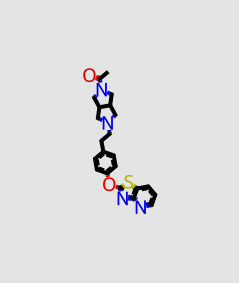 CC(=O)N1CC2CN(CCc3ccc(Oc4nc5ncccc5s4)cc3)CC2C1